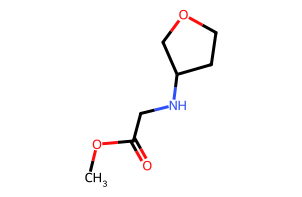 COC(=O)CNC1CCOC1